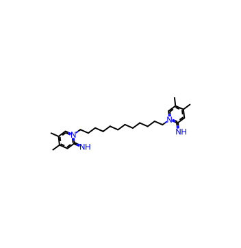 Cc1cc(=N)n(CCCCCCCCCCCCn2cc(C)c(C)cc2=N)cc1C